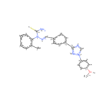 CCC(C)c1ccccc1N(/N=C/c1ccc(-c2ncn(-c3ccc(OC(F)(F)F)cc3)n2)cc1)C(N)=S